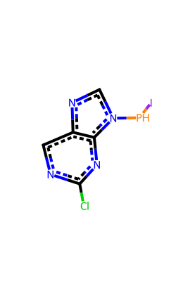 Clc1ncc2ncn(PI)c2n1